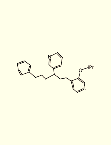 CC(C)Oc1c[c]ccc1CCC(CCCc1ccccc1)c1cccnc1